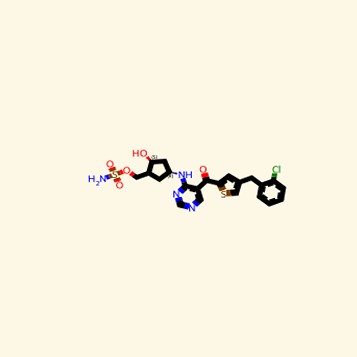 NS(=O)(=O)OCC1C[C@@H](Nc2ncncc2C(=O)c2cc(Cc3ccccc3Cl)cs2)C[C@@H]1O